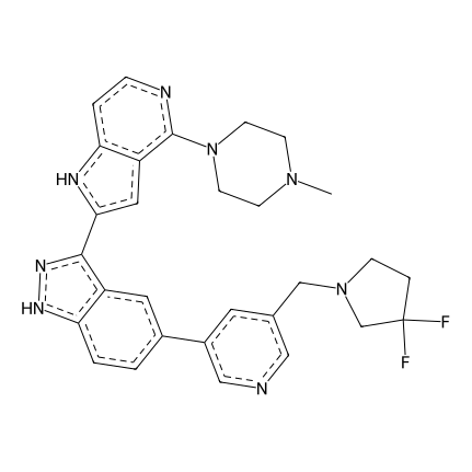 CN1CCN(c2nccc3[nH]c(-c4n[nH]c5ccc(-c6cncc(CN7CCC(F)(F)C7)c6)cc45)cc23)CC1